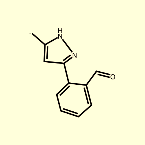 [CH2]c1cc(-c2ccccc2C=O)n[nH]1